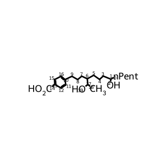 CCCCCC(O)CCCC(CCCc1ccc(C(=O)O)cc1)C(C)O